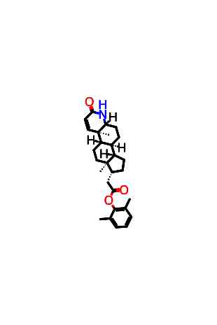 Cc1cccc(C)c1OC(=O)C[C@H]1CC[C@H]2[C@@H]3CC[C@H]4NC(=O)C=C[C@]4(C)[C@H]3CC[C@]12C